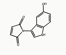 O=C1C=CC(=O)N1c1c[nH]c2ccc(O)cc12